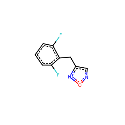 Fc1cccc(F)c1Cc1cnon1